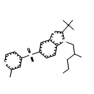 CCCC(C)Cn1c(C(C)(C)C)nc2cc(S(=O)(=O)c3ccnc(F)c3)ccc21